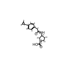 O=C(Cc1ccc(C2CC2)cc1)NC1CCN(C(=O)O)C1